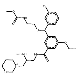 CCOc1cc(C(=O)NCC(C[C@H]2CCCOC2)NC)cc(C(OCCNC(=O)OC)c2cccc(Cl)c2)c1